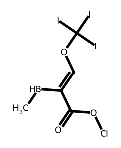 CB/C(=C\OC(I)(I)I)C(=O)OCl